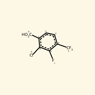 O=C(O)c1ccc(C(F)(F)F)c(F)c1Cl